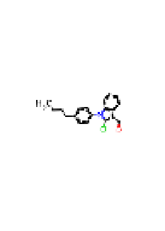 CCCCc1ccc(-n2c(Cl)c(C=O)c3ccccc32)cc1